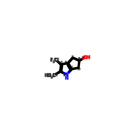 O=C(O)c1[nH]c2c(c1C(F)(F)F)CC(O)C2